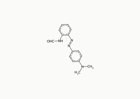 CN(C)c1ccc(N=Nc2ccccc2N[C]=O)cc1